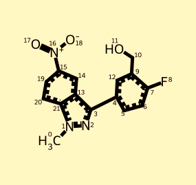 Cn1nc(-c2ccc(F)c(CO)c2)c2cc([N+](=O)[O-])ccc21